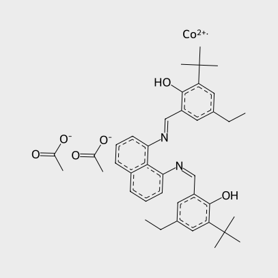 CC(=O)[O-].CC(=O)[O-].CCc1cc(C=Nc2cccc3cccc(N=Cc4cc(CC)cc(C(C)(C)C)c4O)c23)c(O)c(C(C)(C)C)c1.[Co+2]